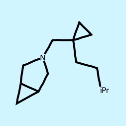 CC(C)CCC1(CN2CC3CC3C2)CC1